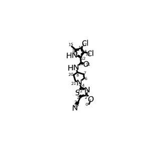 COc1nc(N2CCC(NC(=O)c3[nH]c(C)c(Cl)c3Cl)CC2)sc1C#N